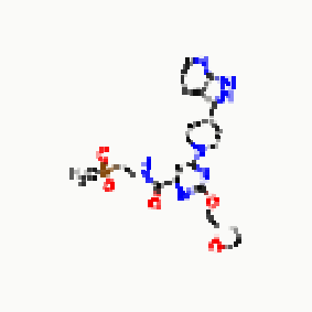 CS(=O)(=O)CCNC(=O)c1cc(N2CCC(c3n[nH]c4ncccc34)CC2)nc(OC[C@H]2CCCO2)n1